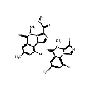 CC(=O)c1cc(C)cc2c(=O)n(C)c3c(C(=O)OC(C)(C)C)ncn3c12.CC(=O)c1cc(C)cc2c(=O)n(C)c3c(I)ncn3c12